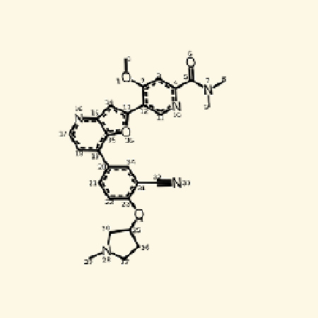 COc1cc(C(=O)N(C)C)ncc1-c1cc2nccc(-c3ccc(OC4CCN(C)C4)c(C#N)c3)c2o1